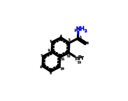 C=C(N)c1ccc2ccccc2c1CCC